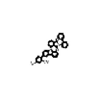 N#Cc1ccc(-c2ccc3c(c2)c2ccccc2n3-c2cccc3c2C(=O)N(c2ccccc2-c2ccccc2)C3=O)c(C#N)c1